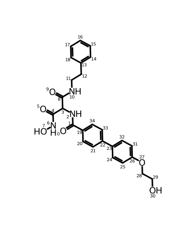 O=C(NC(C(=O)NO)C(=O)NCCc1ccccc1)c1ccc(-c2ccc(OCCO)cc2)cc1